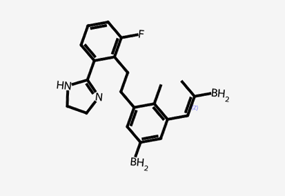 B/C(C)=C/c1cc(B)cc(CCc2c(F)cccc2C2=NCCN2)c1C